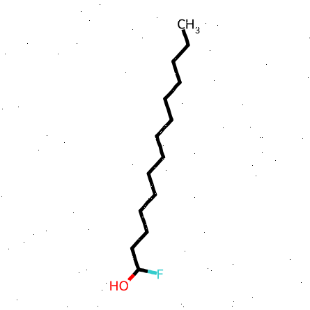 CCCCCCCCCCCCCC(O)F